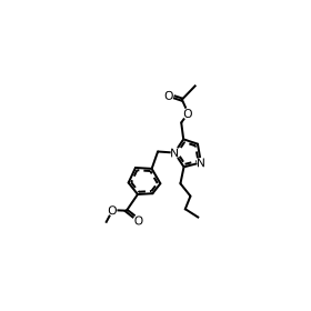 CCCCc1ncc(COC(C)=O)n1Cc1ccc(C(=O)OC)cc1